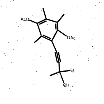 CCC(C)(O)C#Cc1c(C)c(OC(C)=O)c(C)c(C)c1OC(C)=O